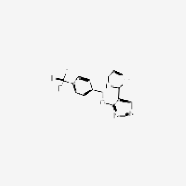 FC(F)(F)c1ccc(COc2ncncc2C2OC=CCO2)cc1